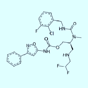 CN(C(=O)NCc1cccc(F)c1Cl)[C@@H](CNCC(F)F)COC(=O)Nc1cc(-c2ccccc2)no1